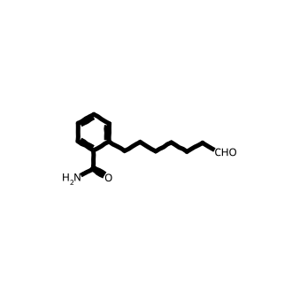 NC(=O)c1ccccc1CCCCCCC=O